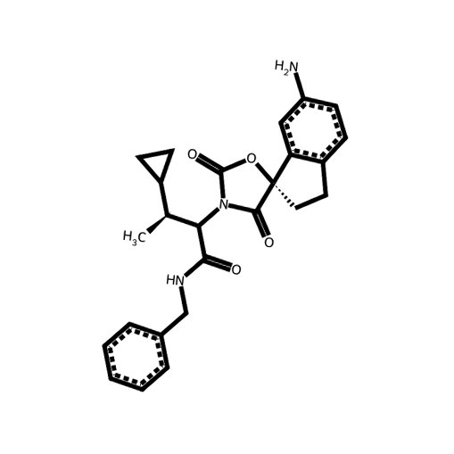 C[C@@H](C1CC1)C(C(=O)NCc1ccccc1)N1C(=O)O[C@]2(CCc3ccc(N)cc32)C1=O